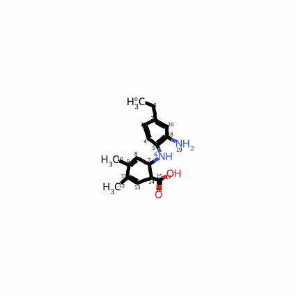 CCc1ccc(NC2C=C(C)C(C)=CC2C(=O)O)c(N)c1